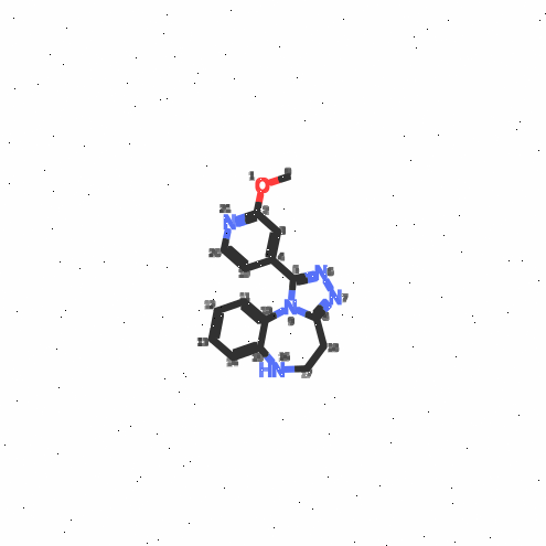 COc1cc(-c2nnc3n2-c2ccccc2NCC3)ccn1